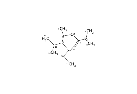 C=C(C)C(=O)OC(C)C(CCC)C(C)C